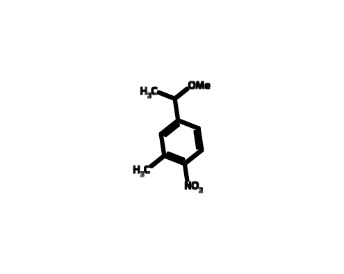 COC(C)c1ccc([N+](=O)[O-])c(C)c1